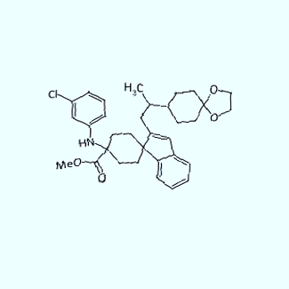 COC(=O)C1(Nc2cccc(Cl)c2)CCC2(CC1)C(CC(C)C1CCC3(CC1)OCCO3)=Cc1ccccc12